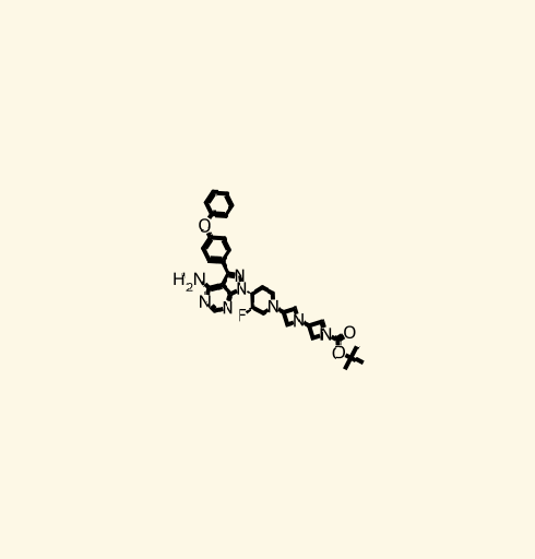 CC(C)(C)OC(=O)N1CC(N2CC(N3CC[C@@H](n4nc(-c5ccc(Oc6ccccc6)cc5)c5c(N)ncnc54)[C@H](F)C3)C2)C1